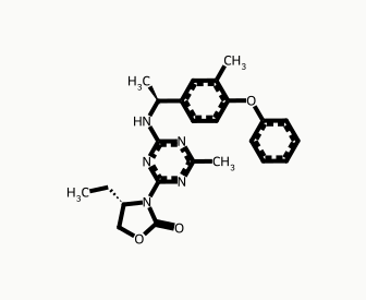 CC[C@H]1COC(=O)N1c1nc(C)nc(N[C@@H](C)c2ccc(Oc3ccccc3)c(C)c2)n1